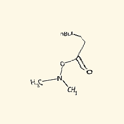 CCCCCC(=O)ON(C)C